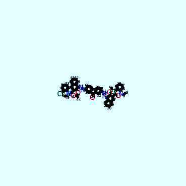 CCOc1c(CON(CC)c2ccccc2Cl)cc2ccccc2c1N=Nc1ccc2c(c1)C(=O)c1cc(N=Nc3c(OCC)c(C(=O)N(CC)c4ccccc4Cl)cc4ccccc34)ccc1-2